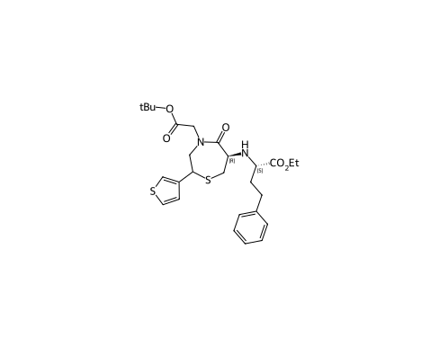 CCOC(=O)[C@H](CCc1ccccc1)N[C@H]1CSC(c2ccsc2)CN(CC(=O)OC(C)(C)C)C1=O